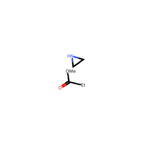 C1CN1.CCC(=O)OC